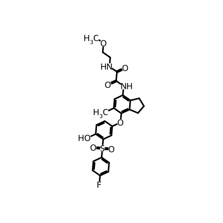 COCCNC(=O)C(=O)Nc1cc(C)c(Oc2ccc(O)c(S(=O)(=O)c3ccc(F)cc3)c2)c2c1CCC2